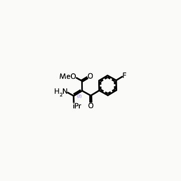 COC(=O)/C(C(=O)c1ccc(F)cc1)=C(\N)C(C)C